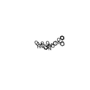 O=C(Nc1ccc2ncn(CC3(O)CCN(C(=O)[C@@H]4CCCC[C@H]4c4ccccc4)CC3)c(=O)c2n1)C1CCOC1